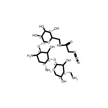 [N-]=[N+]=NCC(=O)NCC1O[C@H](O[C@@H]2C(N)C[C@@H](N)[C@@H](O[C@H]3OC[C@H](O)[C@@H](CN)C3O)C2O)[C@@H](O)C(O)[C@@H]1O